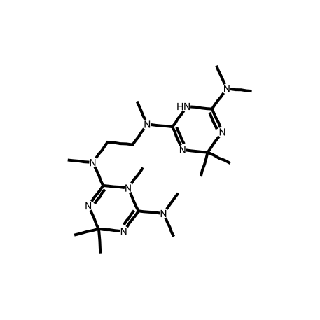 CN(C)C1=NC(C)(C)N=C(N(C)CCN(C)C2=NC(C)(C)N=C(N(C)C)N2C)N1